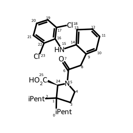 CCCC(C)C1(C(C)CCC)CCN(C(=O)Cc2ccccc2Nc2c(Cl)cccc2Cl)[C@@H]1C(=O)O